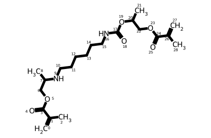 C=C(C)C(=O)OCC(C)NCCCCCCNC(=O)OC(C)COC(=O)C(=C)C